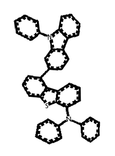 c1ccc(N(c2ccccc2)c2cccc3c2sc2cccc(-c4ccc5c6ccccc6n(-c6ccccc6)c5c4)c23)cc1